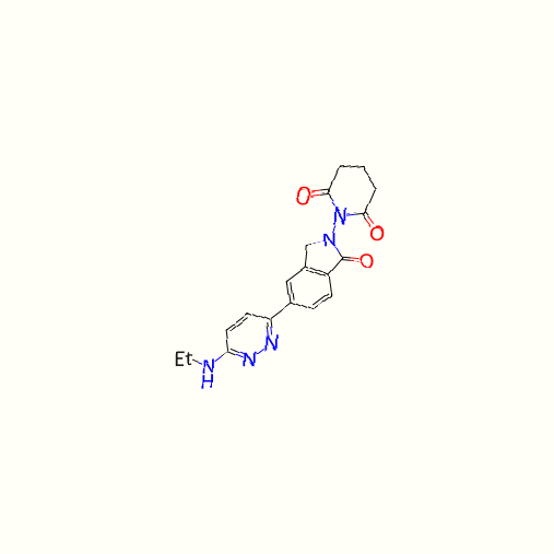 CCNc1ccc(-c2ccc3c(c2)CN(N2C(=O)CCCC2=O)C3=O)nn1